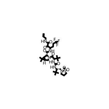 C=CCNC(=O)C(=O)C(CCC(F)(F)F)NC(=O)[C@@H]1C2[C@H](CN1C(=O)[C@@H](NC(=O)N[C@H](CN1CCCS1(=O)=O)C(C)(C)C)C(C)(C)C)C2(C)C